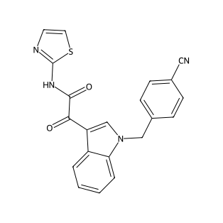 N#Cc1ccc(Cn2cc(C(=O)C(=O)Nc3nccs3)c3ccccc32)cc1